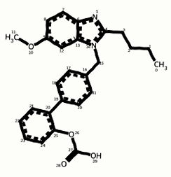 CCCCc1nc2ccc(OC)cc2n1Cc1ccc(-c2ccccc2OC(=O)O)cc1